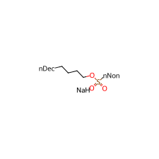 CCCCCCCCCCCCCCOS(=O)(=O)CCCCCCCCC.[NaH]